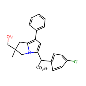 CCOC(=O)C(c1ccc(Cl)cc1)c1cc(-c2ccccc2)c2n1CC(C)(CO)C2